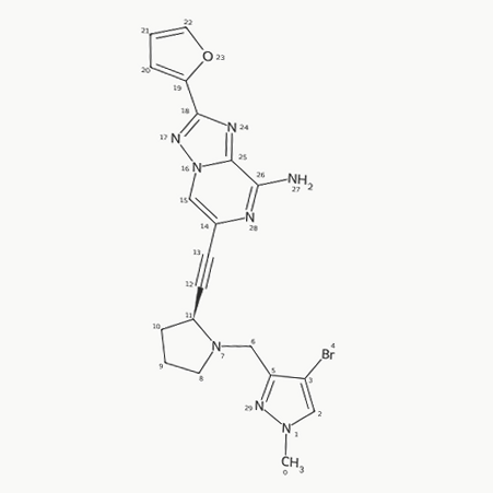 Cn1cc(Br)c(CN2CCC[C@H]2C#Cc2cn3nc(-c4ccco4)nc3c(N)n2)n1